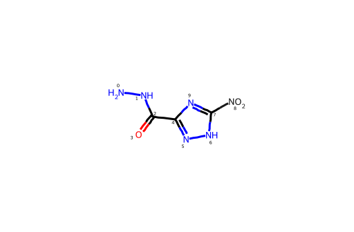 NNC(=O)c1n[nH]c([N+](=O)[O-])n1